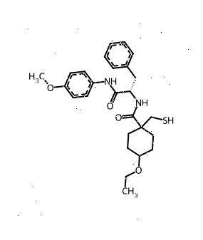 CCOC1CCC(CS)(C(=O)N[C@@H](Cc2ccccc2)C(=O)Nc2ccc(OC)cc2)CC1